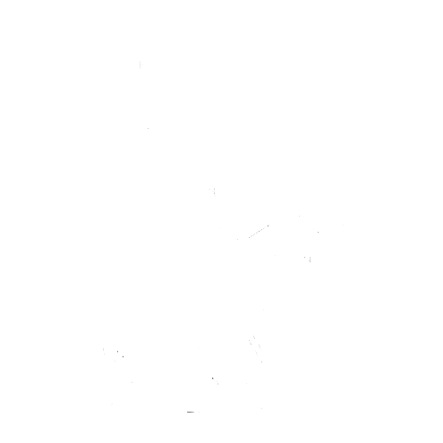 NC(=O)C1CCN(C(=O)c2ccc(CN3CC4(CCN(Cc5ccc(C(F)(F)F)cc5)CC4)OC3=O)cc2)CC1